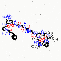 N=C(N)NCCC[C@H](NC(=O)[C@@H]1CCCN1C(=O)[C@H](N)Cc1ccccc1)C(=O)N1CCC[C@H]1C(=O)NCC(=O)NCC(=O)NCC(=O)NCC(=O)N[C@@H](CC(N)=O)C(=O)NCC(=O)N[C@@H](CC(=O)O)C(=O)N[C@@H](Cc1ccccc1)C(=O)N[C@@H](CCC(=O)O)C(=O)N[C@@H](CCC(=O)O)C(=O)O